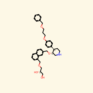 OC[C@H](O)COCc1cccc2ccc(CO[C@H]3CNCC[C@@H]3c3ccc(OCCCOCc4ccccc4)cc3)cc12